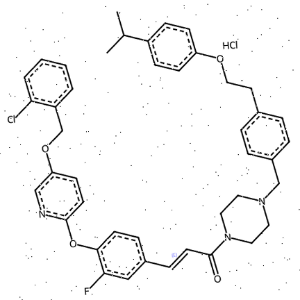 CC(C)c1ccc(OCCc2ccc(CN3CCN(C(=O)/C=C/c4ccc(Oc5ccc(OCc6ccccc6Cl)cn5)c(F)c4)CC3)cc2)cc1.Cl